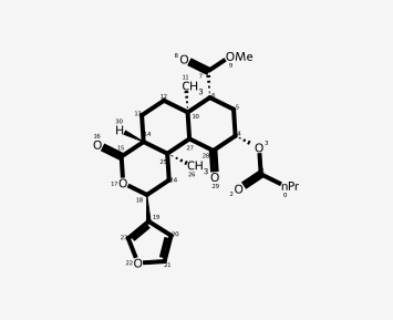 CCCC(=O)O[C@H]1C[C@@H](C(=O)OC)[C@]2(C)CC[C@H]3C(=O)O[C@H](c4ccoc4)C[C@]3(C)C2C1=O